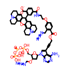 [N-]=[N+]=NCO[C@@H]1C[C@H](n2cc(C#CCOC(=O)c3ccc(OCCNC(=O)c4ccc(C(=O)[O-])c(C5=c6cc7c8c(c6Oc6c5cc5c9c6CCCN9CCC5)CCC[N+]=8CCC7)c4)cc3CN=[N+]=[N-])c3c(N)ncnc32)O[C@@H]1COP(=O)(O)OP(=O)(O)OP(=O)(O)O